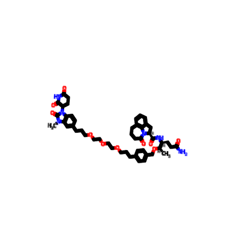 C[C@@H](OCc1ccc(CCCOCCOCCOCCCc2ccc3c(c2)n(C)c(=O)n3C2CCC(=O)NC2=O)cc1)[C@H](CCC(N)=O)NC(=O)[C@@H]1Cc2cccc3c2N1C(=O)CCC3